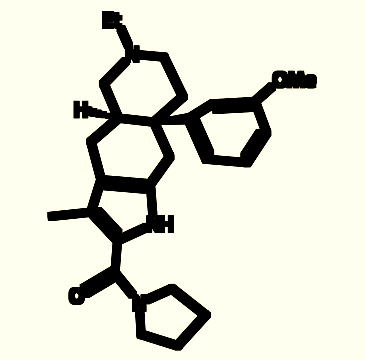 CCN1CC[C@]2(c3cccc(OC)c3)Cc3[nH]c(C(=O)N4CCCC4)c(C)c3C[C@H]2C1